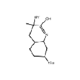 CCCC1(C)CC2CCC(C(C)(C)C)CC2N=C1O